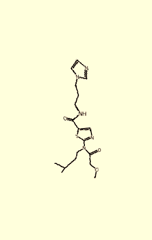 COCC(=O)N(CCC(C)C)c1ncc(C(=O)NCCCn2ccnc2)s1